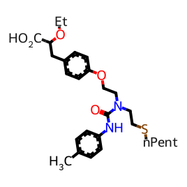 CCCCCSCCN(CCOc1ccc(CC(OCC)C(=O)O)cc1)C(=O)Nc1ccc(C)cc1